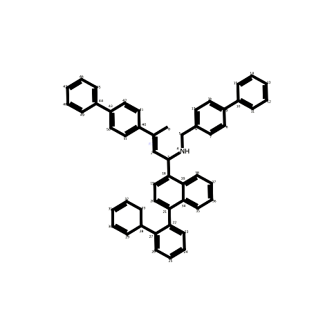 C/C(=C\C(NCc1ccc(-c2ccccc2)cc1)c1ccc(-c2ccccc2C2C=CC=CC2)c2ccccc12)c1ccc(-c2ccccc2)cc1